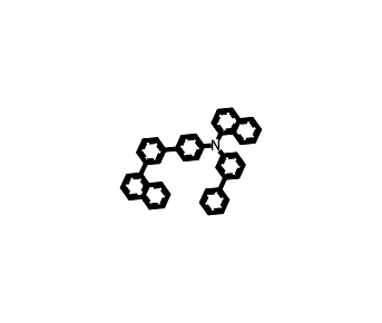 c1ccc(-c2cccc(N(c3ccc(-c4cccc(-c5cccc6ccccc56)c4)cc3)c3cccc4ccccc34)c2)cc1